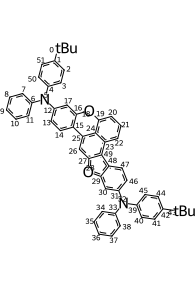 CC(C)(C)c1ccc(N(c2ccccc2)c2ccc3c(c2)Oc2cccc4c2c-3cc2oc3cc(N(c5ccccc5)c5ccc(C(C)(C)C)cc5)ccc3c24)cc1